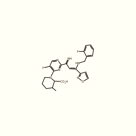 CC1CCCN(c2nc(C(=N)/C=C(\NCc3ccccc3F)c3ccon3)ncc2F)C1C(=O)O